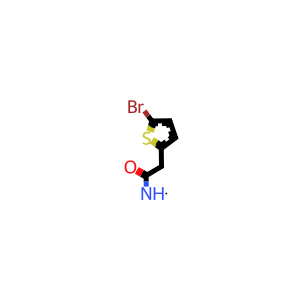 [NH]C(=O)Cc1ccc(Br)s1